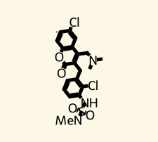 CNS(=O)(=O)Nc1cccc(Cc2c(CN(C)C)c3cc(Cl)[c]cc3oc2=O)c1Cl